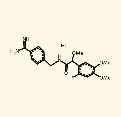 COc1cc(F)c(C(OC)C(=O)NCc2ccc(C(=N)N)cc2)cc1OC.Cl